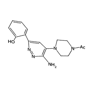 CC(=O)N1CCN(c2cc(-c3ccccc3O)nnc2N)CC1